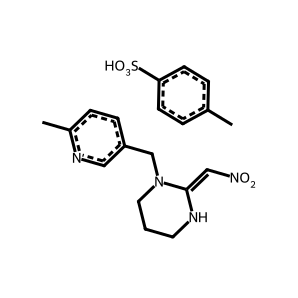 Cc1ccc(CN2CCCNC2=C[N+](=O)[O-])cn1.Cc1ccc(S(=O)(=O)O)cc1